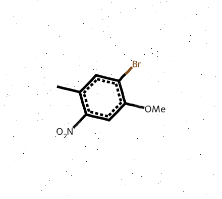 COc1cc([N+](=O)[O-])c(C)cc1Br